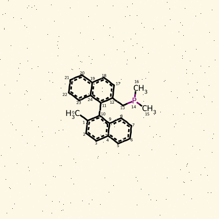 Cc1ccc2ccccc2c1-c1c(CP(C)C)ccc2ccccc12